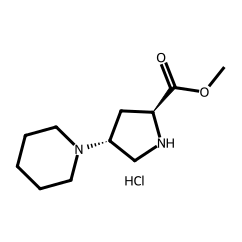 COC(=O)[C@@H]1C[C@@H](N2CCCCC2)CN1.Cl